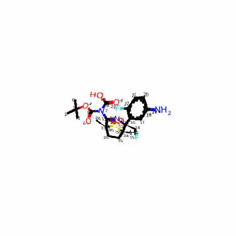 CC(C)(C)OC(=O)N(C(=O)O)C1=N[C@](CF)(c2cc(N)ccc2F)[C@@H]2CC[C@@]1(C)S2(=O)=O